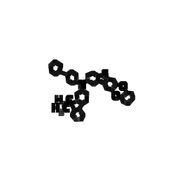 CC1(C)c2ccccc2-c2ccc(N(c3ccc(-c4ccccc4)cc3)c3ccc4sc5cc6c(cc5c4c3)Oc3ccccc3O6)cc21